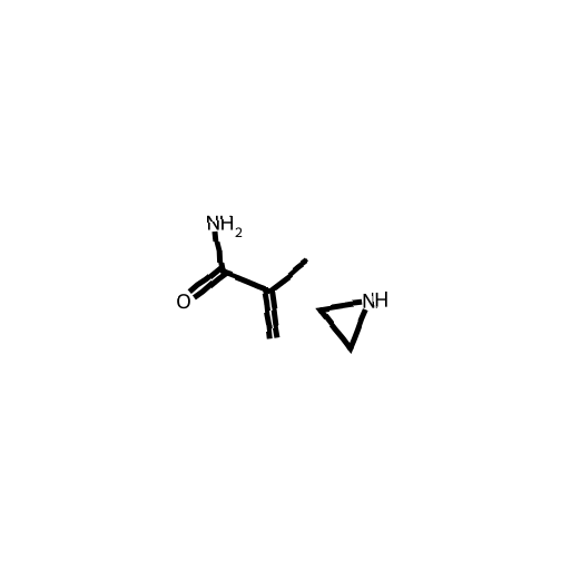 C1CN1.C=C(C)C(N)=O